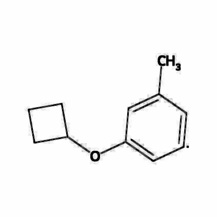 Cc1c[c]cc(OC2CCC2)c1